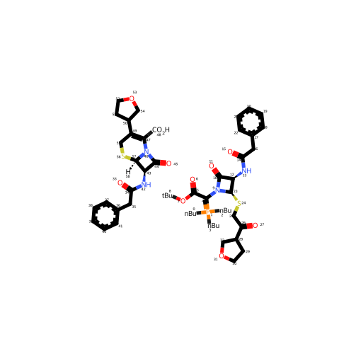 CCCCP(CCCC)(CCCC)=C(C(=O)OC(C)(C)C)N1C(=O)[C@@H](NC(=O)Cc2ccccc2)[C@H]1SCC(=O)C1CCOC1.O=C(Cc1ccccc1)N[C@@H]1C(=O)N2C(C(=O)O)=C(C3CCOC3)CS[C@H]12